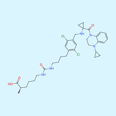 C[C@H](CCCCNC(=O)NCCCCc1cc(Cl)c(CNC2(C(=O)N3CCN(C4CC4)c4ccccc43)CC2)cc1Cl)C(=O)O